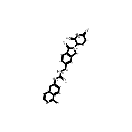 Cc1nccc2cc(NC(=O)NCc3ccc4c(c3)CN(C3CCC(=O)NC3=O)C4=O)ccc12